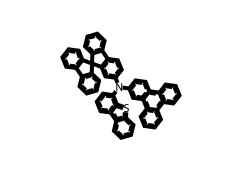 c1ccc2c(c1)-c1ccccc1C21c2ccccc2-c2ccc(N(c3ccc4c5ccccc5c5ccccc5c4c3)c3cccc4c3sc3ccccc34)cc21